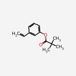 C=Cc1cccc(OC(=O)C(C)(C)C)c1